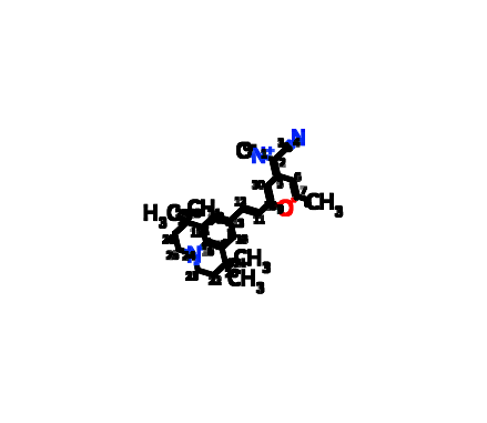 [C-]#[N+]/C(C#N)=C1/C=C(C)OC(/C=C/c2cc3c4c(c2)C(C)(C)CCN4CCC3(C)C)=C1